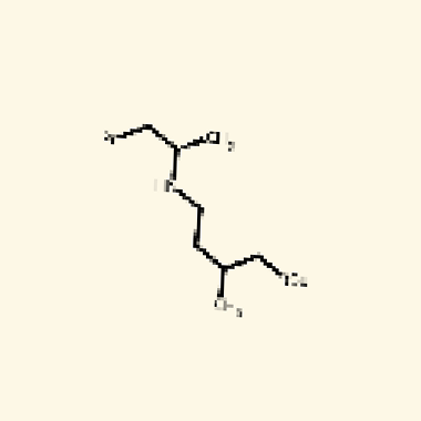 CC(C)C[C@@H](C)NCCC(C)CC(C)(C)C